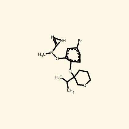 CC(C)C1(Oc2ccc(Br)cc2ON(C)C2=NN2)CCCOC1